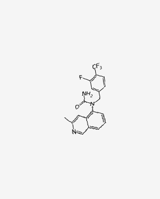 Cc1cc2c(N(Cc3ccc(C(F)(F)F)c(F)c3)C(N)=O)cccc2cn1